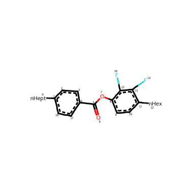 CCCCCCCc1ccc(C(=O)Oc2ccc(CCCCCC)c(F)c2F)cc1